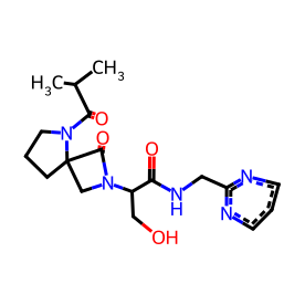 CC(C)C(=O)N1CCCC12CN(C(CO)C(=O)NCc1ncccn1)C2=O